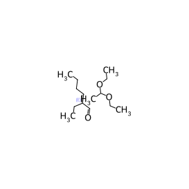 CCC/C=C(/C=O)CC.CCOC(C)OCC